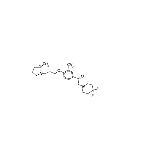 Cc1cc(C(=O)CN2CCC(F)(F)CC2)ccc1OCCCN1CCC[C@H]1C